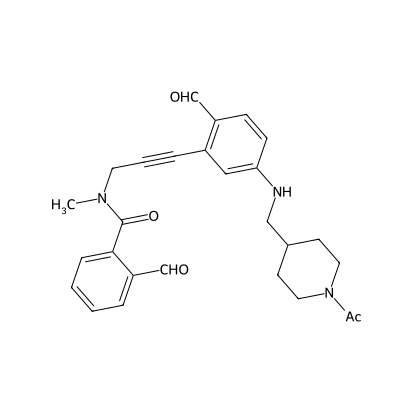 CC(=O)N1CCC(CNc2ccc(C=O)c(C#CCN(C)C(=O)c3ccccc3C=O)c2)CC1